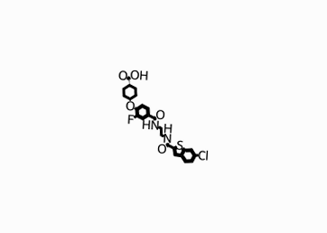 O=C(NCCNC(=O)c1cc2ccc(Cl)cc2s1)c1ccc(O[C@H]2CC[C@@H](C(=O)O)CC2)c(F)c1